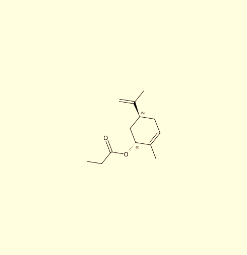 C=C(C)[C@H]1CC=C(C)[C@H](OC(=O)CC)C1